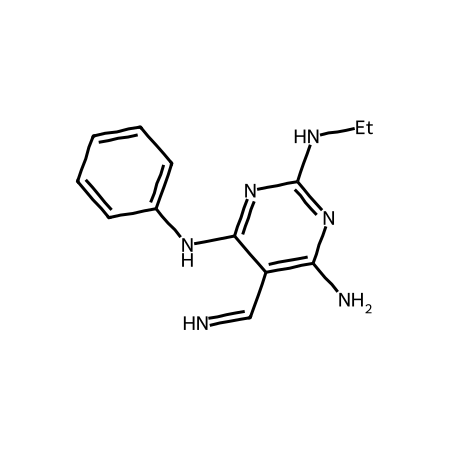 CCNc1nc(N)c(C=N)c(Nc2ccccc2)n1